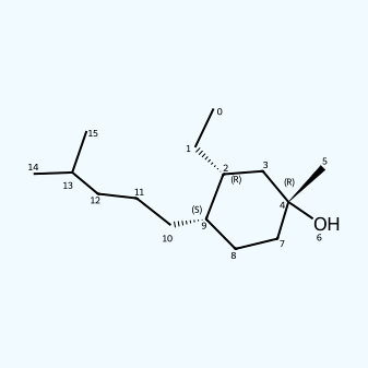 CC[C@@H]1C[C@](C)(O)CC[C@@H]1CCCC(C)C